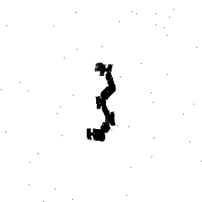 [3H]/C=N/N=B